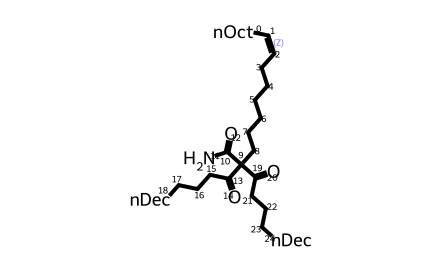 CCCCCCCC/C=C\CCCCCCC(C(N)=O)(C(=O)CCCCCCCCCCCCC)C(=O)CCCCCCCCCCCCC